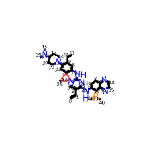 C=Cc1cnc(Nc2cc(CC)c(N3CCC(N(C)C)CC3)cc2OC)nc1Nc1ccc2nccnc2c1P(C)C